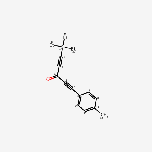 CC[Si](C#CC(=O)C#Cc1ccc(C(F)(F)F)cc1)(CC)CC